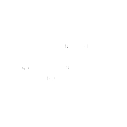 Cc1ccc2nc(C)c(-c3ccccc3)nc2c1[N+](=O)[O-]